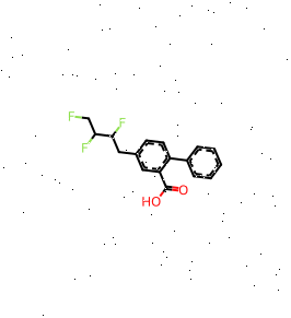 O=C(O)c1cc(CC(F)C(F)CF)ccc1-c1ccccc1